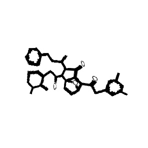 Cc1cc(C)cc(CC(=O)C2C3C=CC4(O3)C(C(=O)CC3CCCC(C)C3C)C(C(C)CCc3ccccc3)C(=O)C24)c1